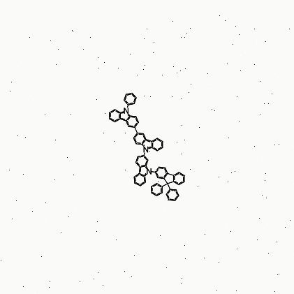 c1ccc(-n2c3ccccc3c3cc(-c4ccc5c(c4)c4ccccc4n5-c4ccc5c6ccccc6n(-c6ccc7c(c6)C(c6ccccc6)(c6ccccc6)c6ccccc6-7)c5c4)ccc32)cc1